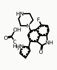 CC(=O)O.O=C1Nc2ccc(F)c3c(N4CCNCC4)cc(-c4ccc[nH]4)c1c23